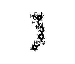 O=C(NCc1ccc(F)cc1)c1ccc(-c2ccc3nc(Nc4ccc(F)cc4OC(F)F)nn3c2)cc1